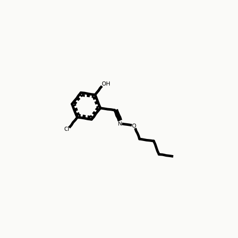 CCCCON=Cc1cc(Cl)ccc1O